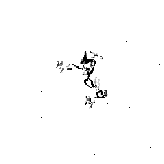 CCCN(c1ncc(-c2cccc(Nc3cc(C)ccn3)c2)o1)C1(C(C)=O)CC1